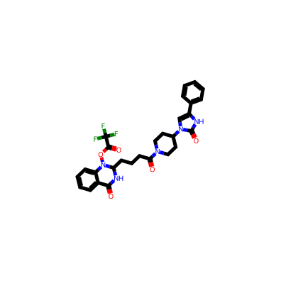 O=C1NC(CCCC(=O)N2CCC(n3cc(-c4ccccc4)[nH]c3=O)CC2)N(OC(=O)C(F)(F)F)c2ccccc21